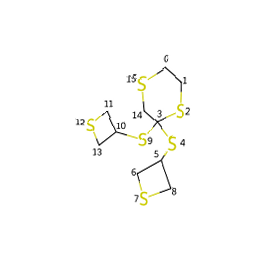 C1CSC(SC2CSC2)(SC2CSC2)CS1